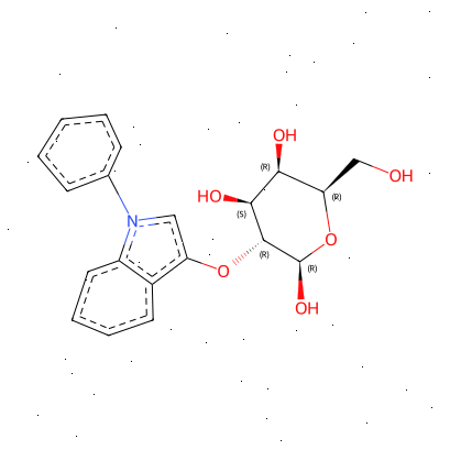 OC[C@H]1O[C@@H](O)[C@H](Oc2cn(-c3ccccc3)c3ccccc23)[C@@H](O)[C@H]1O